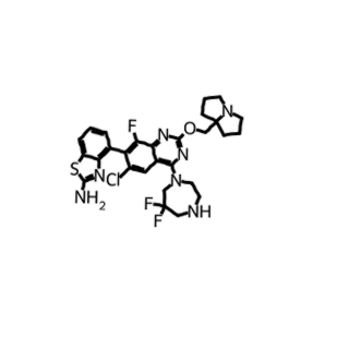 Nc1nc2c(-c3c(Cl)cc4c(N5CCNCC(F)(F)C5)nc(OCC56CCCN5CCC6)nc4c3F)cccc2s1